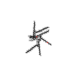 CCCCCCCCCCCCCC(=O)O[C@H](CCCCCCCCCCC)CC(=O)N[C@H]1[C@H](OC[C@@H]2CCCN2C(=O)C[C@@H](CCCCCCCCCCC)OC(=O)CCCCCCCCCCCCC)O[C@H](CO)[C@@H](OP(=O)(O)O)[C@@H]1OC(=O)C[C@@H](CCCCCCCCCCC)OC(=O)CCCCCCCCCCCCC